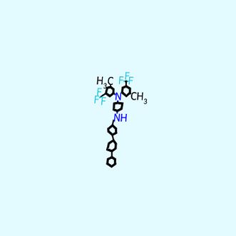 Cc1cc(N(c2ccc(NCc3ccc(-c4ccc(-c5ccccc5)cc4)cc3)cc2)c2cc(C)cc(C(F)(F)F)c2)cc(C(F)(F)F)c1